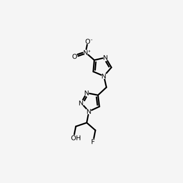 O=[N+]([O-])c1cn(Cc2cn(C(CO)CF)nn2)cn1